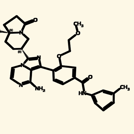 COCCOc1cc(C(=O)Nc2cccc(C)c2)ccc1-c1nc([C@@H]2CC[C@H]3CCC(=O)N3C2)n2ccnc(N)c12